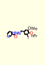 CCCOc1c(I)cc(/C=N/NC(=O)c2cccnc2)cc1OC